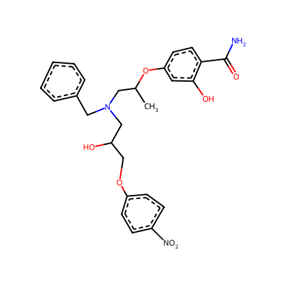 CC(CN(Cc1ccccc1)CC(O)COc1ccc([N+](=O)[O-])cc1)Oc1ccc(C(N)=O)c(O)c1